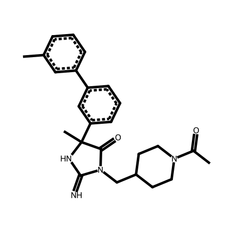 CC(=O)N1CCC(CN2C(=N)NC(C)(c3cccc(-c4cccc(C)c4)c3)C2=O)CC1